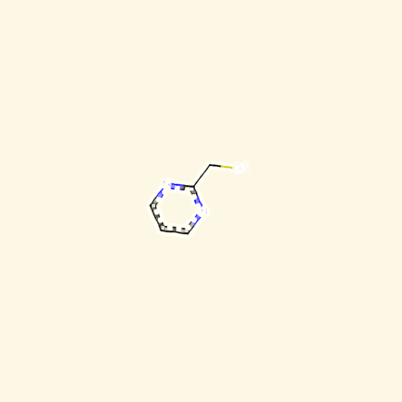 SCc1n[c]ccn1